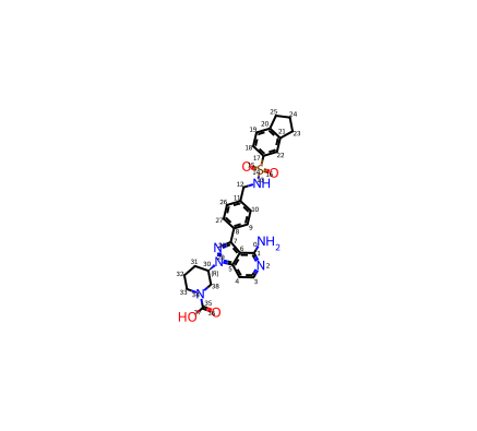 Nc1nccc2c1c(-c1ccc(CNS(=O)(=O)c3ccc4c(c3)CCC4)cc1)nn2[C@@H]1CCCN(C(=O)O)C1